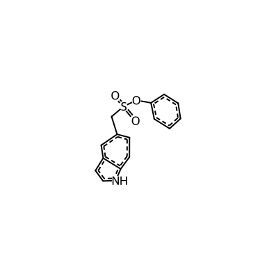 O=S(=O)(Cc1ccc2[nH]ccc2c1)Oc1ccccc1